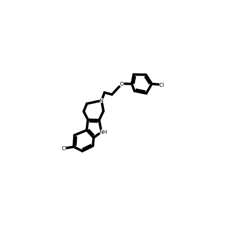 Clc1ccc(OCCN2CCc3c([nH]c4ccc(Cl)cc34)C2)cc1